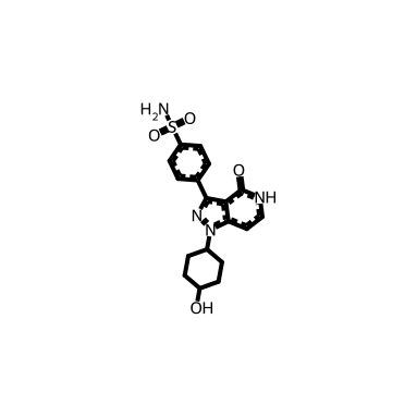 NS(=O)(=O)c1ccc(-c2nn(C3CCC(O)CC3)c3cc[nH]c(=O)c23)cc1